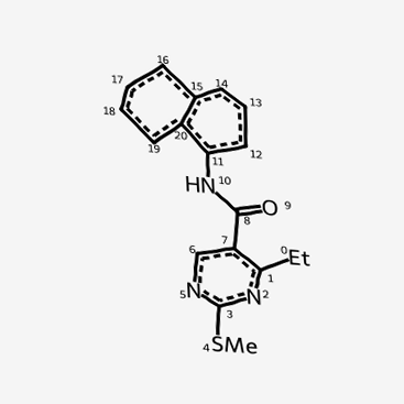 CCc1nc(SC)ncc1C(=O)Nc1cccc2ccccc12